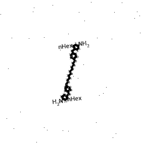 CCCCCCc1cc(N)ccc1Cc1ccc(CCCCCCCCCCCCc2ccc(Cc3ccc(N)cc3CCCCCC)cc2)cc1